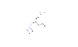 CCCC(CCC)CN1CCC1